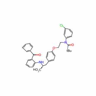 CC(C)(C)C(=O)N(CCOc1ccc(C[C@H](Nc2ccccc2C(=O)c2ccccc2)C(=O)O)cc1)c1cccc(Cl)c1